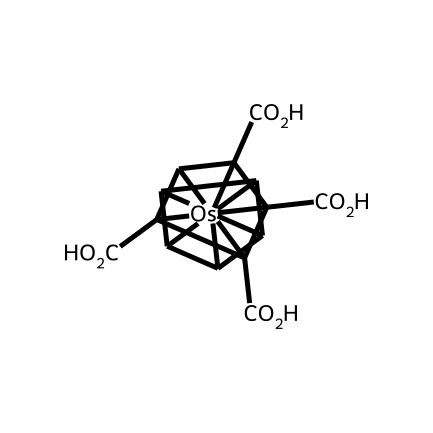 O=C(O)[C]12[CH]3[C]4(C(=O)O)[C]5(C(=O)O)[C]1(C(=O)O)[Os]32451678[CH]2[CH]1[CH]6[CH]7[CH]28